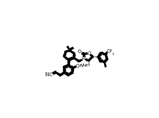 COc1ccc(CCC#N)cc1C1=C(CN2C(=O)O[C@H](c3cc(C)cc(C(F)(F)F)c3)[C@@H]2C)CC(C)(C)CC1